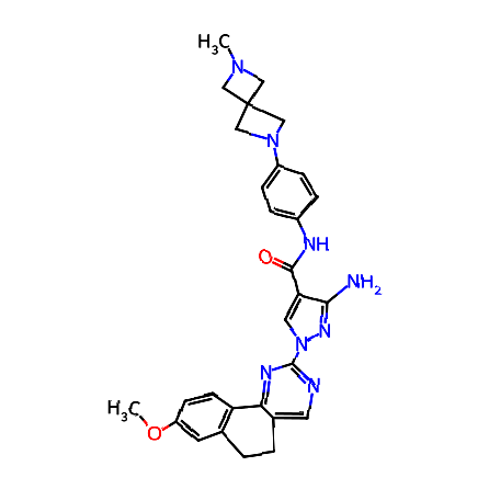 COc1ccc2c(c1)CCc1cnc(-n3cc(C(=O)Nc4ccc(N5CC6(CN(C)C6)C5)cc4)c(N)n3)nc1-2